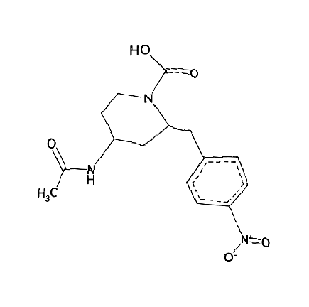 CC(=O)NC1CCN(C(=O)O)C(Cc2ccc([N+](=O)[O-])cc2)C1